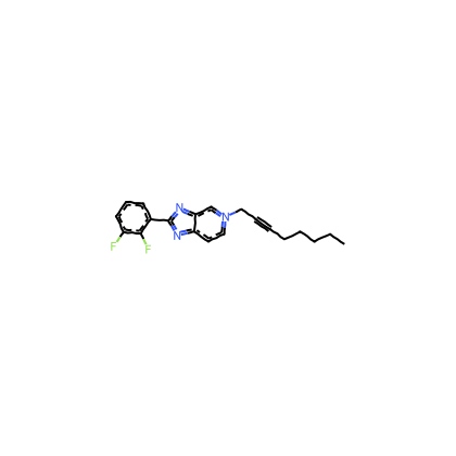 CCCCCC#CCn1ccc2nc(-c3cccc(F)c3F)nc-2c1